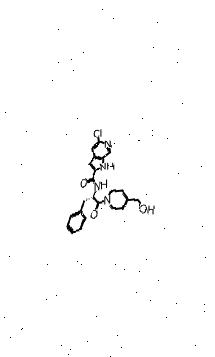 O=C(N[C@@H](Cc1ccccc1)C(=O)N1CCC(CO)CC1)c1cc2cc(Cl)ncc2[nH]1